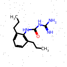 CCCc1cccc(CCC)c1NC(=O)NC(=N)N